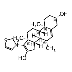 C[C@H]1C=C2C[C@@H](O)CC[C@]2(C)[C@H]2CC[C@]3(C)C(N4C=CSC4)=C(O)C[C@H]3[C@H]12